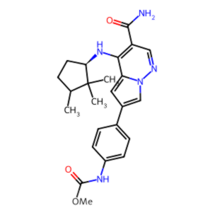 COC(=O)Nc1ccc(-c2cc3c(N[C@@H]4CCC(C)C4(C)C)c(C(N)=O)cnn3c2)cc1